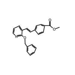 COC(=O)c1ccc(C=Cc2cccnc2OCc2ccccc2)cc1